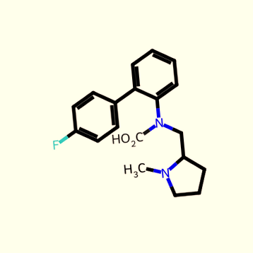 CN1CCCC1CN(C(=O)O)c1ccccc1-c1ccc(F)cc1